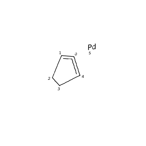 C1=CCCC=1.[Pd]